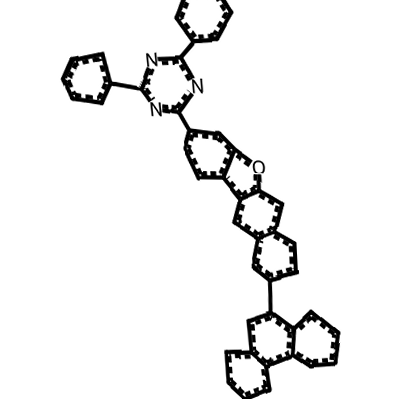 c1ccc(-c2nc(-c3ccccc3)nc(-c3ccc4c(c3)oc3cc5ccc(-c6cc7ccccc7c7ccccc67)cc5cc34)n2)cc1